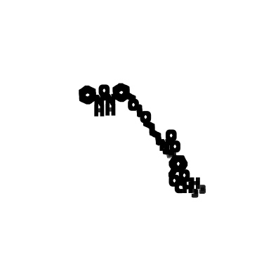 CC1(C)OCc2cc([C@@H]3CN(CCCCCOCCOCc4cccc(NC(=O)Nc5ccccc5)c4)C(=O)O3)ccc2O1